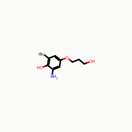 CC(C)(C)c1cc(OCCCO)cc(N)c1O